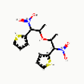 CC(OC(C)C(c1cccs1)[N+](=O)[O-])C(c1cccs1)[N+](=O)[O-]